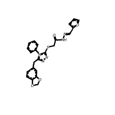 O=C(CSc1nnc(Cc2ccc3c(c2)OCO3)n1-c1ccccc1)N/N=C/c1ccco1